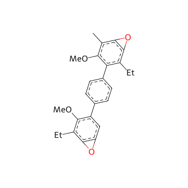 CCc1c2c(cc(-c3ccc(-c4c(CC)c5c(c(C)c4OC)O5)cc3)c1OC)O2